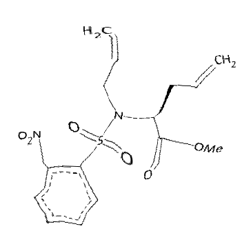 C=CC[C@@H](C(=O)OC)N(CC=C)S(=O)(=O)c1ccccc1[N+](=O)[O-]